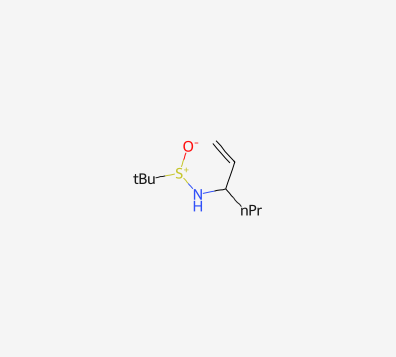 C=CC(CCC)N[S+]([O-])C(C)(C)C